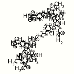 CC(=O)N1CC[C@H]2CC[C@@H](C(=O)N[C@@H](CCC(N)=O)COc3cccc(CCCCCNC(=O)C[C@@H](NC(=O)[C@H]4C[C@H](O)CN4C(=O)[C@@H]4n5nnc(C)c5CN(C(C)=O)CC4(C)C)c4ccc(-c5scnc5C)cc4)c3Cl)N2C(=O)[C@@H](NC(=O)c2cc3cc(C(=O)P(=O)(O)O)ccc3[nH]2)C1